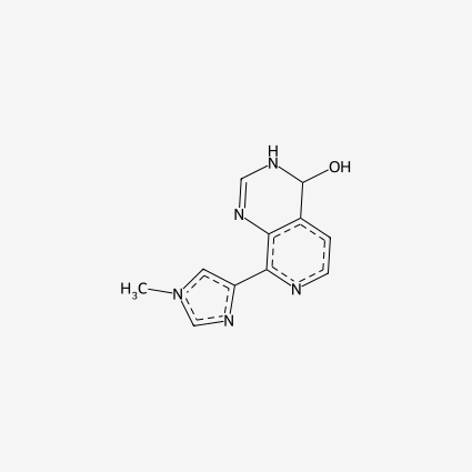 Cn1cnc(-c2nccc3c2N=CNC3O)c1